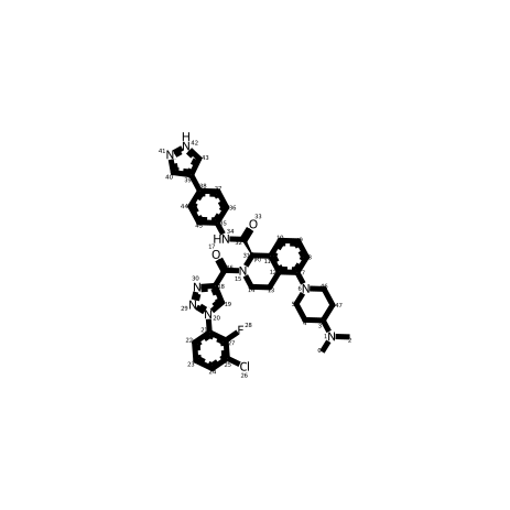 CN(C)C1CCN(c2cccc3c2CCN(C(=O)c2cn(-c4cccc(Cl)c4F)nn2)[C@H]3C(=O)Nc2ccc(-c3cn[nH]c3)cc2)CC1